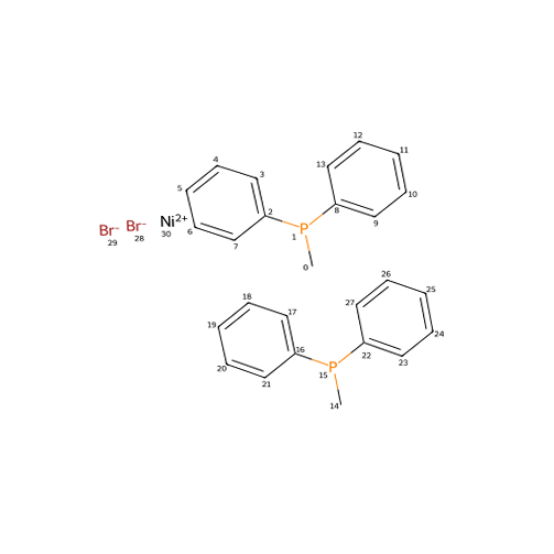 CP(c1ccccc1)c1ccccc1.CP(c1ccccc1)c1ccccc1.[Br-].[Br-].[Ni+2]